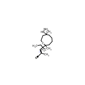 CCC(C)(/C=C(\C)C#N)C1(C)CCCCC(C)(BN)CCC1